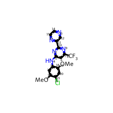 COc1cc(Nc2cc(C(F)(F)F)nc(-c3cnccn3)n2)c(OC)cc1Cl